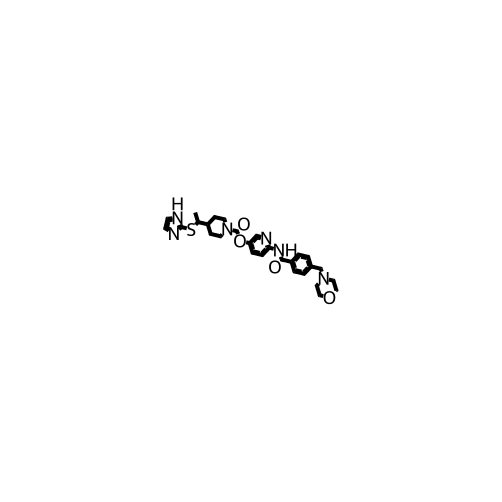 CC(Sc1ncc[nH]1)C1CCN(C(=O)Oc2ccc(NC(=O)c3ccc(CN4CCOCC4)cc3)nc2)CC1